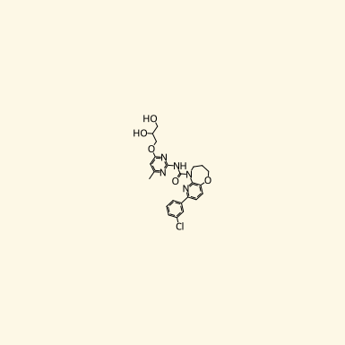 Cc1cc(OCC(O)CO)nc(NC(=O)N2CCCOc3ccc(-c4cccc(Cl)c4)nc32)n1